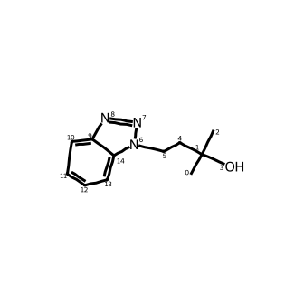 CC(C)(O)CCn1nnc2ccccc21